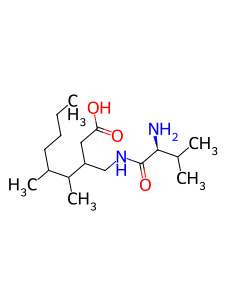 CCCCC(C)C(C)C(CNC(=O)[C@@H](N)C(C)C)CC(=O)O